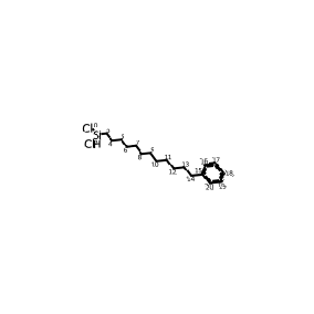 Cl[SiH](Cl)CCCCCCCCCCCCc1ccccc1